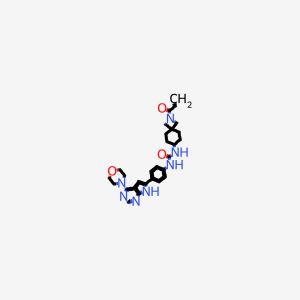 C=CC(=O)N1CC2(CCC(NC(=O)Nc3ccc(-c4cc5c(N6CCOCC6)ncnc5[nH]4)cc3)CC2)C1